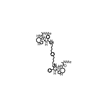 CN[C@@H](C)C(=O)N[C@H]1CCCC[C@H]2CC[C@@H](C(=O)N[C@H](c3ccccc3)c3cn(CCCCc4ccc(CCCCn5cc([C@H](NC(=O)[C@@H]6CC[C@@H]7CCCC[C@H](NC(=O)[C@H](C)NC)C(=O)N76)c6ccccc6)nn5)cc4)nn3)N2C1=O